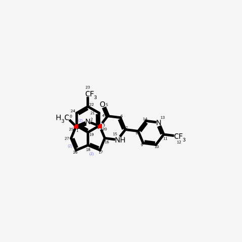 CC1=N/N2C(=O)C=C(c3ccc(C(F)(F)F)nc3)NC2/C=C(c2ccc(C(F)(F)F)cc2)/C=C\1